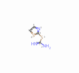 N=C(N)Sc1nccs1